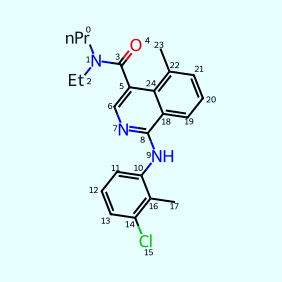 CCCN(CC)C(=O)c1cnc(Nc2cccc(Cl)c2C)c2cccc(C)c12